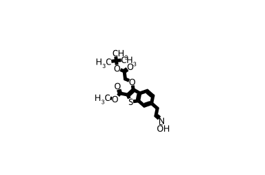 COC(=O)c1sc2cc(CC=NO)ccc2c1OCC(=O)OC(C)(C)C